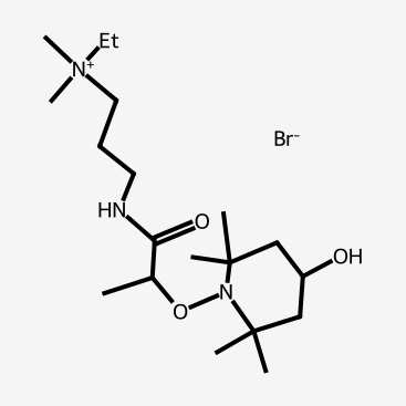 CC[N+](C)(C)CCCNC(=O)C(C)ON1C(C)(C)CC(O)CC1(C)C.[Br-]